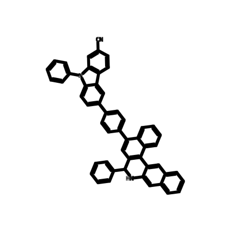 N#Cc1ccc2c3cc(-c4ccc(-c5cc6c(c7ccccc57)-c5cc7ccccc7cc5NC6c5ccccc5)cc4)ccc3n(-c3ccccc3)c2c1